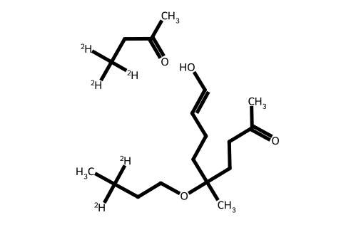 [2H]C([2H])(C)CCOC(C)(CCC=CO)CCC(C)=O.[2H]C([2H])([2H])CC(C)=O